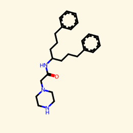 O=C(CN1CCNCC1)NC(CCCc1ccccc1)CCCc1ccccc1